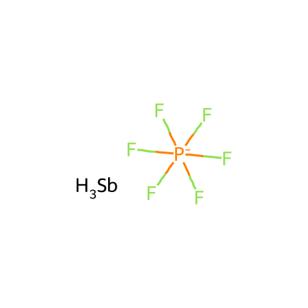 F[P-](F)(F)(F)(F)F.[SbH3]